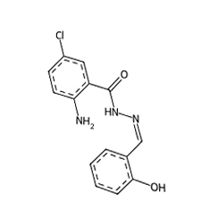 Nc1ccc(Cl)cc1C(=O)N/N=C\c1ccccc1O